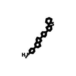 Pc1ccc(-c2ccc3cc(-c4ccc(-c5ccc6sc7ccccc7c6c5)cc4)ccc3c2)cc1